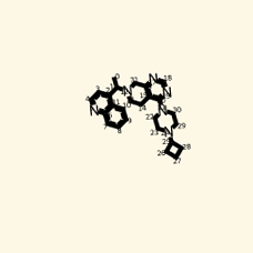 CC(c1ccnc2ccccc12)N1CCc2c(ncnc2N2CCN(C3CCC3)CC2)C1